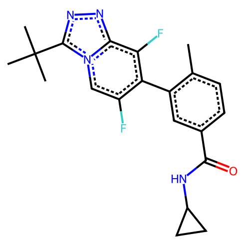 Cc1ccc(C(=O)NC2CC2)cc1-c1c(F)cn2c(C(C)(C)C)nnc2c1F